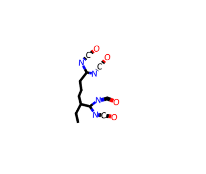 CCC(CCCC(N=C=O)N=C=O)C(N=C=O)N=C=O